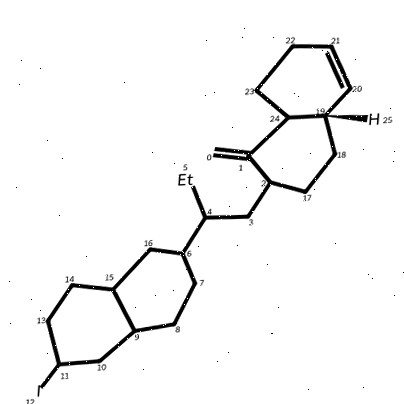 C=C1C(CC(CC)C2CCC3CC(I)CCC3C2)CC[C@H]2C=CCCC12